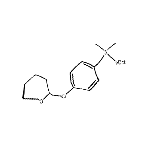 CCCCCCCC[Si](C)(C)c1ccc(OC2CCCCO2)cc1